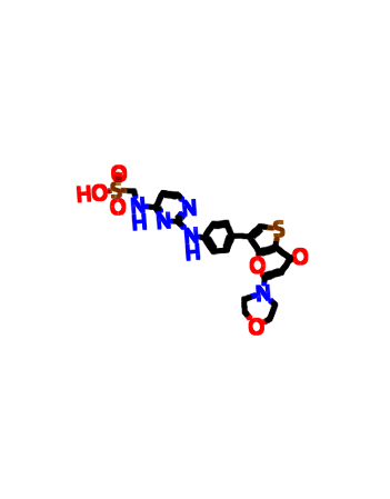 O=c1cc(N2CCOCC2)oc2c(-c3ccc(Nc4nccc(NCS(=O)(=O)O)n4)cc3)csc12